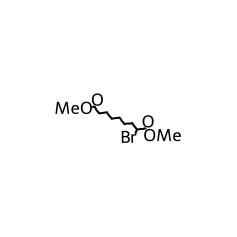 COC(=O)CCCCCCC(Br)C(=O)OC